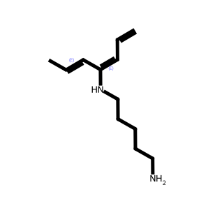 C=C/C=C(\C=C\C)NCCCCCN